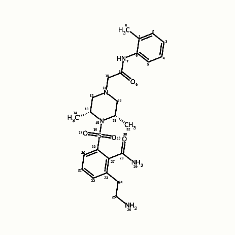 Cc1ccccc1NC(=O)CN1C[C@@H](C)N(S(=O)(=O)c2cccc(CCN)c2C(N)=O)[C@@H](C)C1